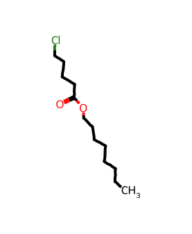 CCCCCCCCOC(=O)CCCCCl